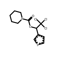 O=C(OC(c1ccsc1)C(Cl)(Cl)Cl)N1CCCCC1